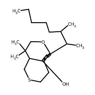 CCCCCC(C)C(C)C1=C2OCC(C)(C)C3CSCCC23CC(O)=C1